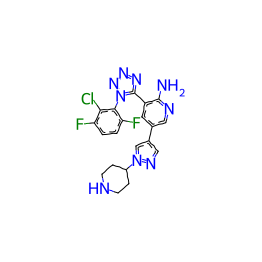 Nc1ncc(-c2cnn(C3CCNCC3)c2)cc1-c1nnnn1-c1c(F)ccc(F)c1Cl